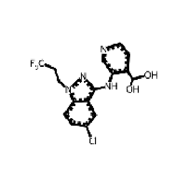 OC(O)c1ccncc1Nc1nn(CCC(F)(F)F)c2ccc(Cl)cc12